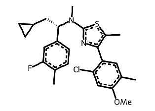 COc1cc(Cl)c(-c2nc(N(C)[C@@H](CC3CC3)c3ccc(C)c(F)c3)sc2C)cc1C